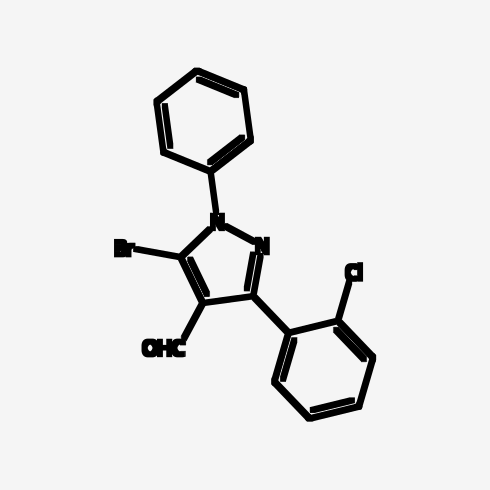 O=Cc1c(-c2ccccc2Cl)nn(-c2ccccc2)c1Br